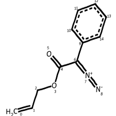 C=CCOC(=O)C(=[N+]=[N-])c1ccccc1